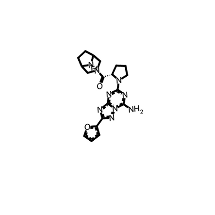 CCN1C2CCC1CN(C(=O)[C@@H]1CCCN1c1nc(N)n3nc(-c4ccco4)nc3n1)C2